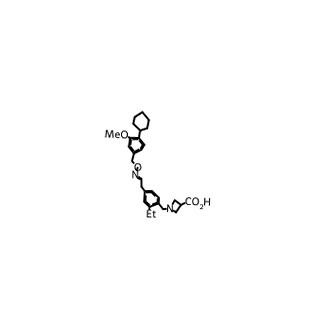 CCc1cc(CC=NOCc2ccc(C3CCCCC3)c(OC)c2)ccc1CN1CC(C(=O)O)C1